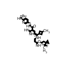 CCCCNc1ccc(SNC(=O)/C(=C/C=C(/N/C=C\C(=N)OCCC2(C(C)(F)F)CC2)C2CC(C)C2)C(=N)N)cn1